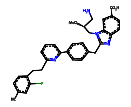 CO[C@@H](CN)Cn1c(Cc2ccc(-c3cccc(CCc4ccc(C#N)cc4F)n3)cc2)nc2ccc(C(=O)O)cc21